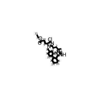 CCCCc1nc(Cl)c(/C=C/C(=O)OCC)n1Cc1ccc(-c2ccccc2-c2nnn[nH]2)cc1